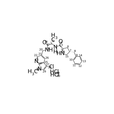 C[C@H](NC(=O)[C@H]1C[C@H](Cc2ccccc2)CN1)C(=O)NCc1cnc2c(c1)c(Cl)cn2C.Cl.Cl